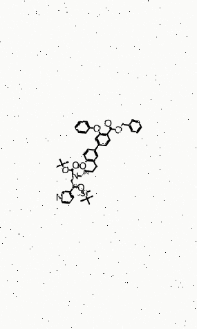 CC(C)(C)OC(=O)N(C[C@H]1CCc2cc(-c3ccc(C(=O)OCc4ccccc4)c(Oc4ccccc4)c3)ccc2O1)C[C@@H](O[Si](C)(C)C(C)(C)C)c1cccnc1